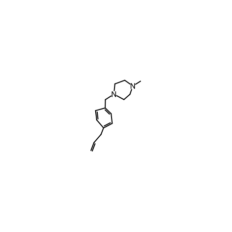 C=CCc1ccc(CN2CCN(C)CC2)cc1